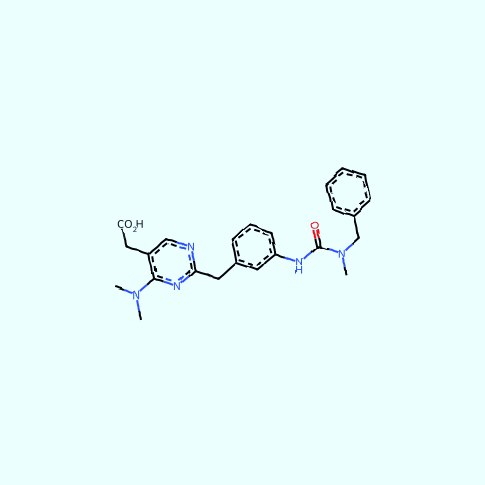 CN(Cc1ccccc1)C(=O)Nc1cccc(Cc2ncc(CC(=O)O)c(N(C)C)n2)c1